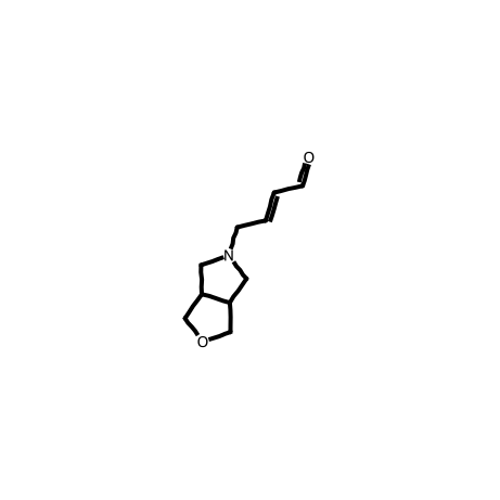 O=CC=CCN1CC2COCC2C1